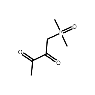 CC(=O)C(=O)CP(C)(C)=O